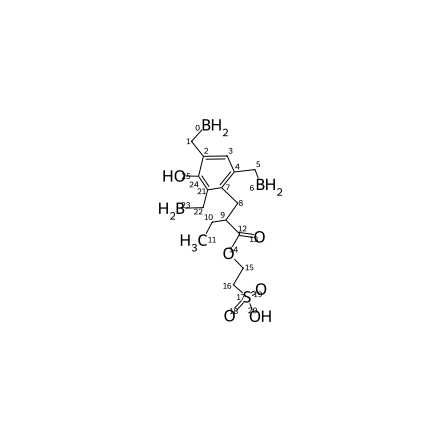 BCc1cc(CB)c(CC(CC)C(=O)OCCS(=O)(=O)O)c(CB)c1O